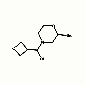 CC(C)(C)C1CN(C(O)C2COC2)CCO1